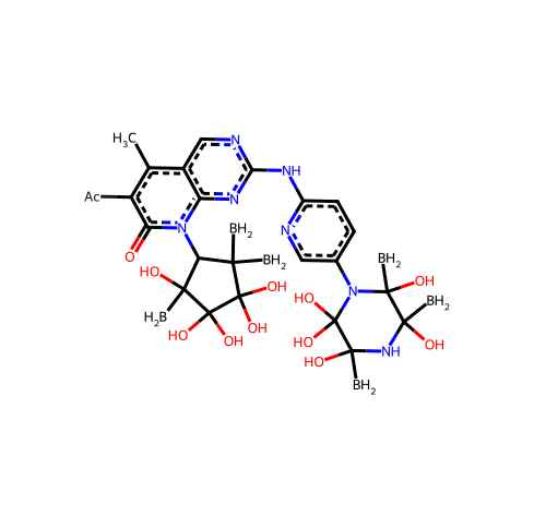 BC1(O)NC(B)(O)C(O)(O)N(c2ccc(Nc3ncc4c(C)c(C(C)=O)c(=O)n(C5C(B)(B)C(O)(O)C(O)(O)C5(B)O)c4n3)nc2)C1(B)O